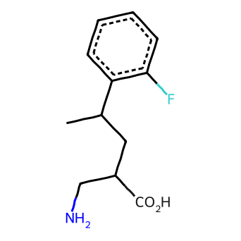 CC(CC(CN)C(=O)O)c1ccccc1F